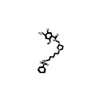 COc1cc(N)c(Cl)cc1C(=O)NC[C@H]1CCN(CCCCCNS(=O)(=O)c2ccccc2)C1